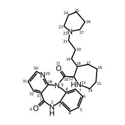 O=C1Nc2ccccc2N(C(=O)C2NCCCCC2CCCN2CCCCC2)c2ncccc21